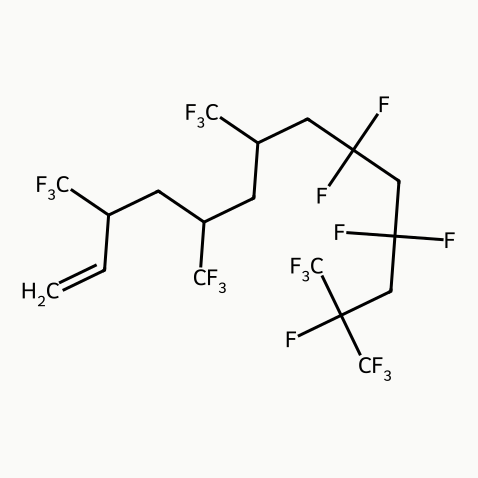 C=CC(CC(CC(CC(F)(F)CC(F)(F)CC(F)(C(F)(F)F)C(F)(F)F)C(F)(F)F)C(F)(F)F)C(F)(F)F